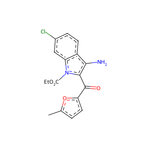 CCOC(=O)n1c(C(=O)c2ccc(C)o2)c(N)c2ccc(Cl)cc21